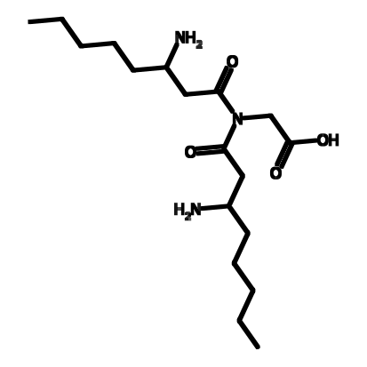 CCCCCC(N)CC(=O)N(CC(=O)O)C(=O)CC(N)CCCCC